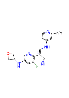 CCCc1cc(N/C=C(\C=N)c2ncc(NC3COC3)cc2F)ccn1